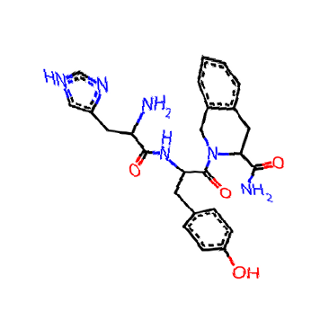 NC(=O)C1Cc2ccccc2CN1C(=O)C(Cc1ccc(O)cc1)NC(=O)C(N)Cc1c[nH]cn1